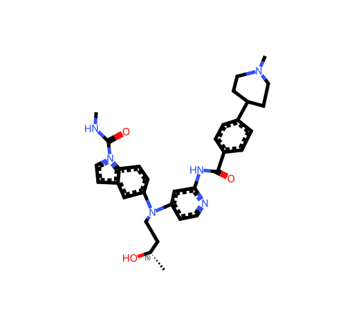 CNC(=O)n1ccc2cc(N(CC[C@H](C)O)c3ccnc(NC(=O)c4ccc(C5CCN(C)CC5)cc4)c3)ccc21